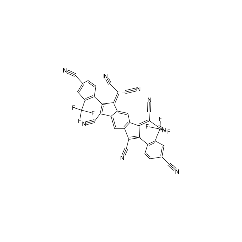 N#CC(C#N)=C1C(c2ccc(C#N)cc2C(F)(F)F)=C(C#N)c2cc3c(cc21)C(=C(C#N)C#N)C(c1ccc(C#N)cc1C(F)(F)F)=C3C#N